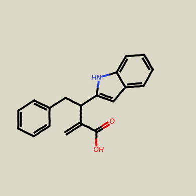 C=C(C(=O)O)C(Cc1ccccc1)c1cc2ccccc2[nH]1